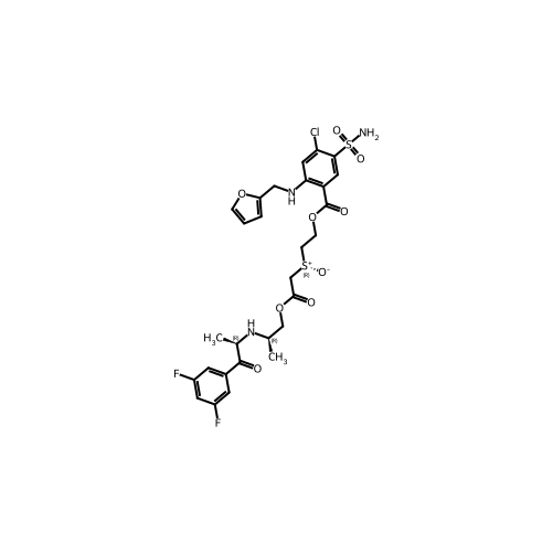 C[C@H](COC(=O)C[S@@+]([O-])CCOC(=O)c1cc(S(N)(=O)=O)c(Cl)cc1NCc1ccco1)N[C@H](C)C(=O)c1cc(F)cc(F)c1